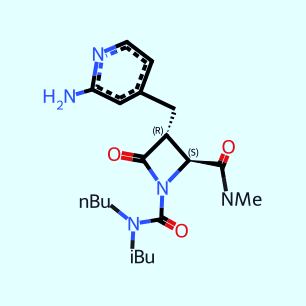 CCCCN(C(=O)N1C(=O)[C@H](Cc2ccnc(N)c2)[C@H]1C(=O)NC)C(C)CC